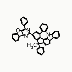 CC1(c2ccccc2)c2cc(-c3nc(-c4ccccc4)c4oc5ccccc5c4n3)cc3c2-c2c1ccc1c4ccccc4n(c21)-c1ccccc1-3